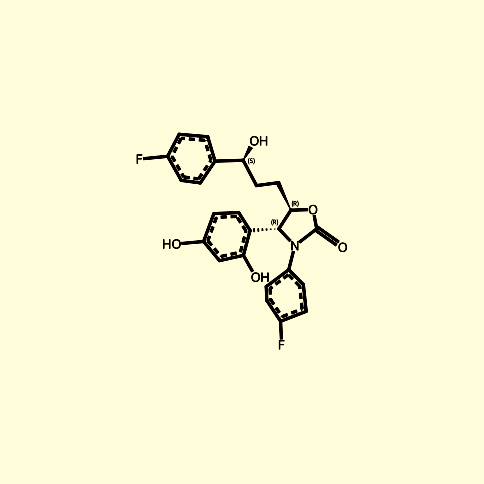 O=C1O[C@H](CC[C@H](O)c2ccc(F)cc2)[C@@H](c2ccc(O)cc2O)N1c1ccc(F)cc1